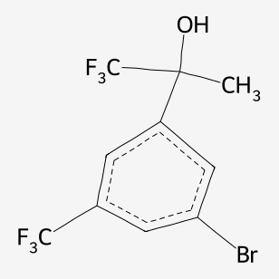 CC(O)(c1cc(Br)cc(C(F)(F)F)c1)C(F)(F)F